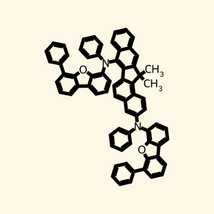 CC1(C)c2cc3ccccc3c(N(c3ccccc3)c3cccc4c3oc3c(-c5ccccc5)cccc34)c2-c2ccc3cc(N(c4ccccc4)c4cccc5c4oc4c(-c6ccccc6)cccc45)ccc3c21